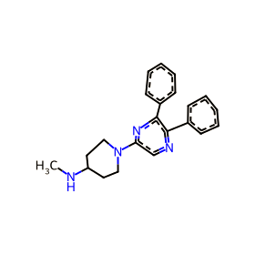 CNC1CCN(c2cnc(-c3ccccc3)c(-c3ccccc3)n2)CC1